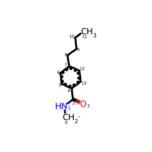 [CH2]NC(=O)c1ccc(CCCC)cc1